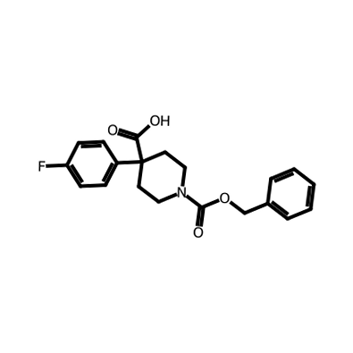 O=C(OCc1ccccc1)N1CCC(C(=O)O)(c2ccc(F)cc2)CC1